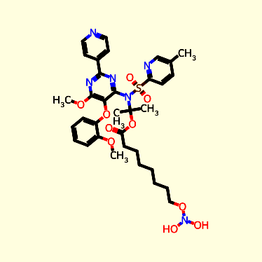 COc1ccccc1Oc1c(OC)nc(-c2ccncc2)nc1N(C(C)(C)OC(=O)CCCCCCCON(O)O)S(=O)(=O)c1ccc(C)cn1